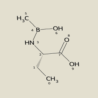 CC[C@H](NB(C)O)C(=O)O